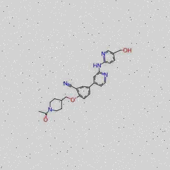 CC(=O)N1CCC(COc2ccc(-c3ccnc(Nc4ccc(CO)cn4)c3)cc2C#N)CC1